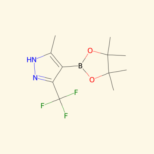 Cc1[nH]nc(C(F)(F)F)c1B1OC(C)(C)C(C)(C)O1